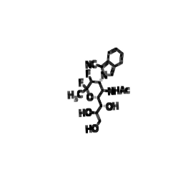 CC(=O)N[C@H]1[C@H]([C@H](O)[C@H](O)CO)OC(C)(F)C(F)[C@@H]1n1cc2ccccc2c1C#N